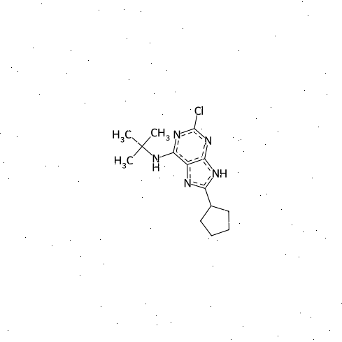 CC(C)(C)Nc1nc(Cl)nc2[nH]c(C3CCCC3)nc12